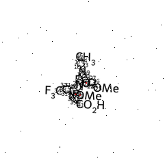 COC[C@@]1(F)CN(C(=O)[C@]2(F)CN([C@H]3CC[C@H](C)CC3)C[C@H]2c2ccc(OC)cc2)C[C@@H]1c1ccc(C(F)(F)F)cc1N1CCC(C(=O)O)CC1